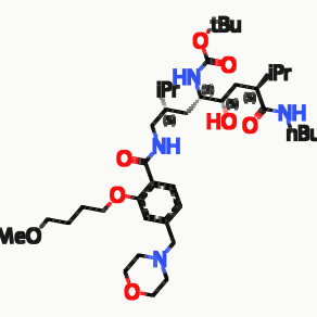 CCCCNC(=O)[C@@H](C[C@H](O)[C@H](C[C@H](CNC(=O)c1ccc(CN2CCOCC2)cc1OCCCCOC)C(C)C)NC(=O)OC(C)(C)C)C(C)C